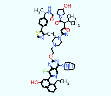 CCc1cccc2cc(O)cc(-c3ncc4c(N5CC6CCC(C5)N6)nc(OCCN5CCN(c6cc([C@@H](C(=O)N7C[C@H](O)C[C@H]7C(=O)N[C@@H](C)c7ccc(-c8scnc8C)cc7)C(C)C)on6)CC5)nc4c3F)c12